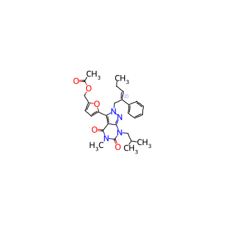 CC/C=C(\Cn1nc2c(c1-c1ccc(COC(C)=O)o1)c(=O)n(C)c(=O)n2CC(C)C)c1ccccc1